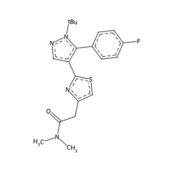 CN(C)C(=O)Cc1csc(-c2cnn(C(C)(C)C)c2-c2ccc(F)cc2)n1